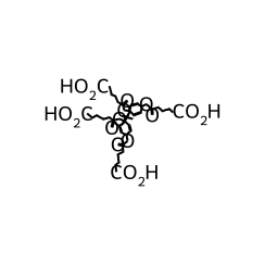 CC(C)(C1(OC(=O)CCCCC(=O)O)C=CC(OC(=O)CCCCC(=O)O)C=C1)C1(OC(=O)CCCCC(=O)O)C=CC(OC(=O)CCCCC(=O)O)C=C1